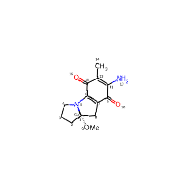 CO[C@]12CCCN1C1=C(C2)C(=O)C(N)=C(C)C1=O